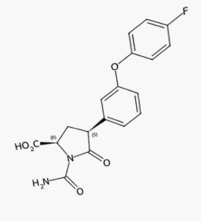 NC(=O)N1C(=O)[C@H](c2cccc(Oc3ccc(F)cc3)c2)C[C@@H]1C(=O)O